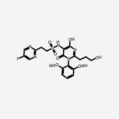 COc1cccc(OC)c1-n1c(CCCO)nc(O)c(NS(=O)(=O)CCc2ncc(F)cn2)c1=O